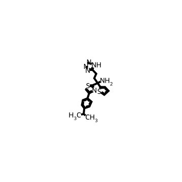 CC(C)c1ccc(-c2csc(C(N)(CCc3nnn[nH]3)c3cccs3)n2)cc1